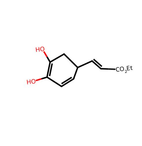 CCOC(=O)C=CC1C=CC(O)=C(O)C1